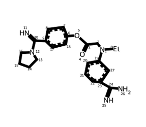 CCN(CC(=O)Oc1ccc(C(=N)N2CCCC2)cc1)c1cccc(C(=N)N)c1